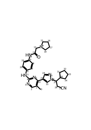 Cc1cnc(Nc2ccc(NC(=O)CN3CCCC3)cc2)nc1-c1cnn(C(CC#N)C2CCCC2)c1